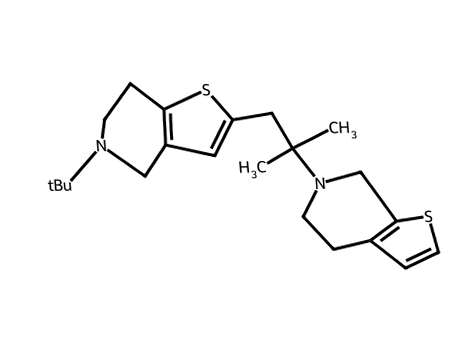 CC(C)(C)N1CCc2sc(CC(C)(C)N3CCc4ccsc4C3)cc2C1